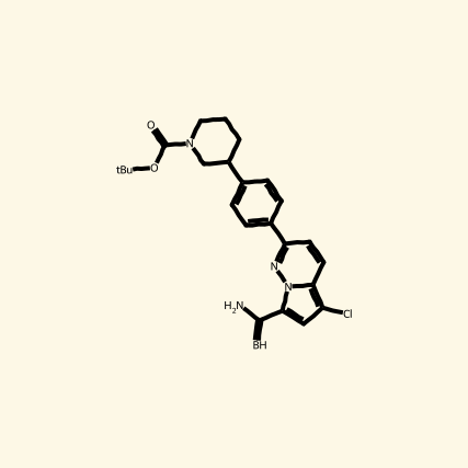 B=C(N)c1cc(Cl)c2ccc(-c3ccc(C4CCCN(C(=O)OC(C)(C)C)C4)cc3)nn12